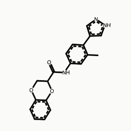 Cc1cc(NC(=O)C2COc3ccccc3O2)ccc1-c1cn[nH]c1